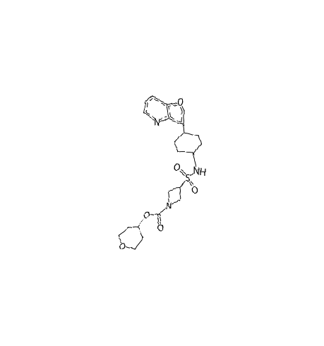 O=C(OC1CCOCC1)N1CC(S(=O)(=O)NC2CCC(c3coc4cccnc34)CC2)C1